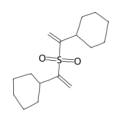 C=C(C1CCCCC1)S(=O)(=O)C(=C)C1CCCCC1